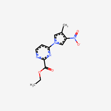 CCOC(=O)c1nccc(-n2cc(C)c([N+](=O)[O-])c2)n1